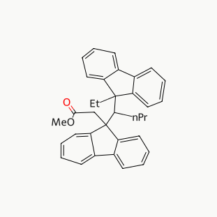 CCCC(C1(CC)c2ccccc2-c2ccccc21)C1(CC(=O)OC)c2ccccc2-c2ccccc21